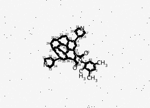 Cc1cc(C)c(C)c(-n2c(=O)c3c4cc(-c5ccncc5)c5ccc6ccc7c(-c8ccncc8)cc(c3c2=O)c2c7c6c5c42)c1